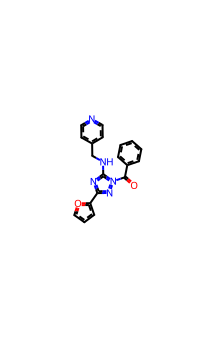 O=C(c1ccccc1)n1nc(-c2ccco2)nc1NCc1ccncc1